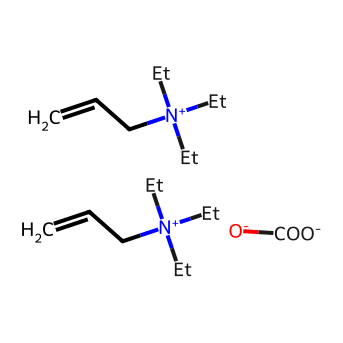 C=CC[N+](CC)(CC)CC.C=CC[N+](CC)(CC)CC.O=C([O-])[O-]